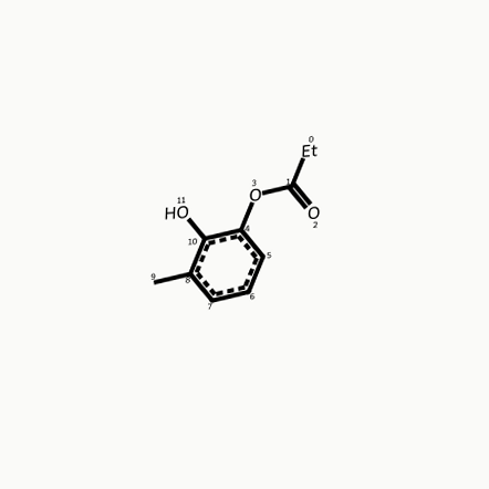 CCC(=O)Oc1cccc(C)c1O